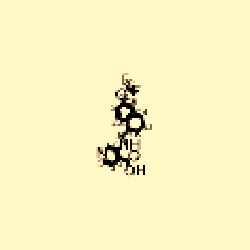 O=C(O)c1ccncc1NC[C@@H]1CCCc2cc(OC(F)F)ccc21